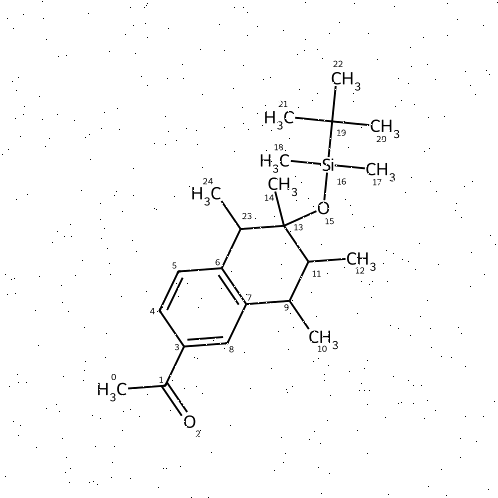 CC(=O)c1ccc2c(c1)C(C)C(C)C(C)(O[Si](C)(C)C(C)(C)C)C2C